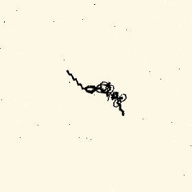 CCCCCCCCc1ccc(OCC(Cn2ccc(C(=O)OCCCC)c2)OC(C)=O)cc1